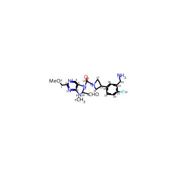 COCc1ncc2c(n1)N(C)C(C=O)N2C(=O)N1CC(c2ccc(F)c(CN)c2)C1